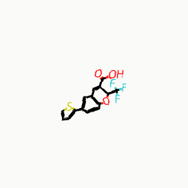 O=C(O)C1=Cc2cc(-c3cccs3)ccc2OC1C(F)(F)F